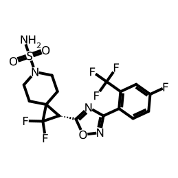 NS(=O)(=O)N1CCC2(CC1)[C@H](c1nc(-c3ccc(F)cc3C(F)(F)F)no1)C2(F)F